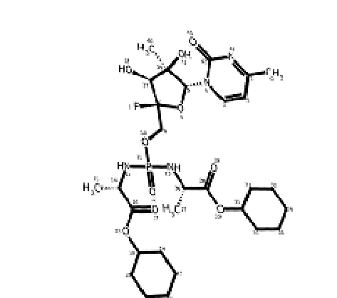 Cc1ccn([C@@H]2O[C@](F)(COP(=O)(N[C@@H](C)C(=O)OC3CCCCC3)N[C@@H](C)C(=O)OC3CCCCC3)[C@@H](O)[C@@]2(C)O)c(=O)n1